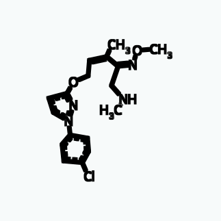 CNCC(=N/OC)/C(C)=C\COc1ccn(-c2ccc(Cl)cc2)n1